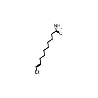 CCC=CCCCCCCCC(N)=O